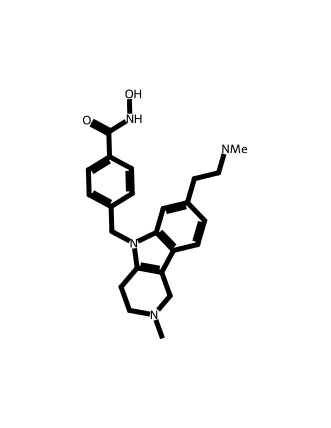 CNCCc1ccc2c3c(n(Cc4ccc(C(=O)NO)cc4)c2c1)CCN(C)C3